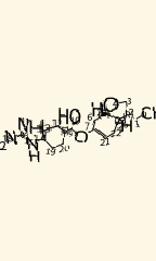 CC[C@H]1CO[C@H]2CC(OC(O)[C@@H]3CC=C(NC(=N)N)CC3)=CC[C@@H]12